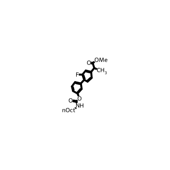 CCCCCCCCNC(=O)Oc1cccc(-c2ccc(C(C)C(=O)OC)cc2F)c1